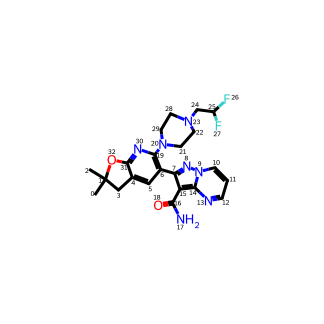 CC1(C)Cc2cc(-c3nn4cccnc4c3C(N)=O)c(N3CCN(CC(F)F)CC3)nc2O1